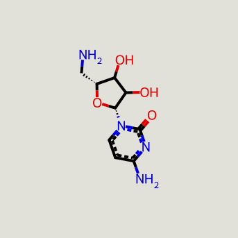 NC[C@H]1O[C@@H](n2ccc(N)nc2=O)C(O)C1O